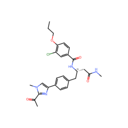 CCCOc1ccc(C(=O)N[C@H](CC(=O)NC)Cc2ccc(-c3cn(C)c(C(C)=O)n3)cc2)cc1Cl